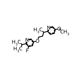 COc1ccc(C(C)CCOc2cnc(C(C)C)c(F)c2)nc1